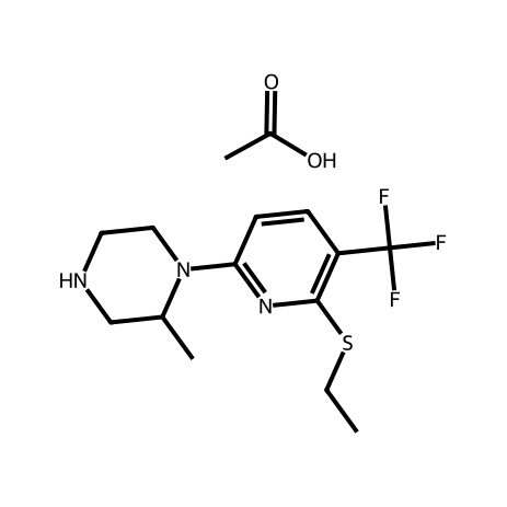 CC(=O)O.CCSc1nc(N2CCNCC2C)ccc1C(F)(F)F